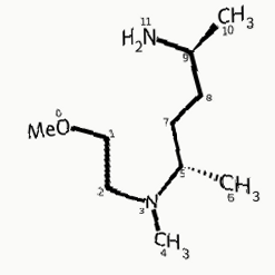 COCCN(C)[C@@H](C)CC[C@H](C)N